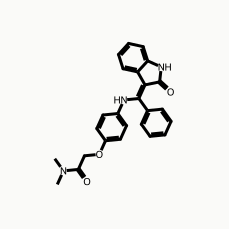 CN(C)C(=O)COc1ccc(NC(=C2C(=O)Nc3ccccc32)c2ccccc2)cc1